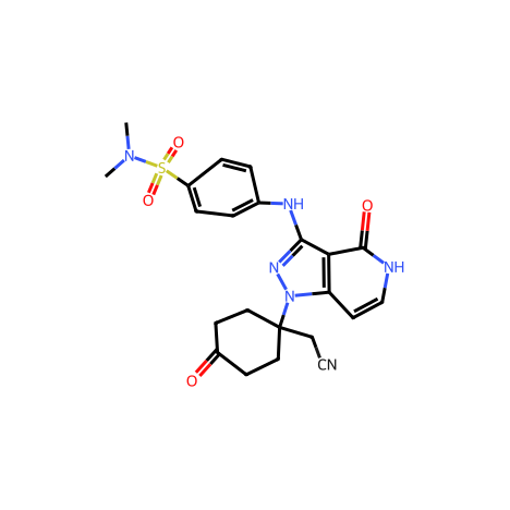 CN(C)S(=O)(=O)c1ccc(Nc2nn(C3(CC#N)CCC(=O)CC3)c3cc[nH]c(=O)c23)cc1